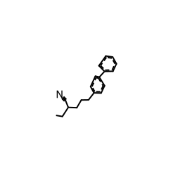 CCC(C#N)CCCc1ccc(-c2ccccc2)cc1